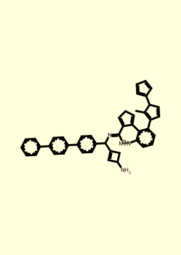 CCC(C)/C(=N\C(C1=CC(N)C1)c1ccc(-c2ccc(-c3ccccc3)cc2)cc1)C1=CCC=C1c1c(NC)cccc1C1=C(C)C(C2=C=CC=C2)C=C1